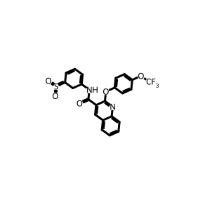 O=C(NC1=CC=CC(=S(=O)=O)C1)c1cc2ccccc2nc1Oc1ccc(OC(F)(F)F)cc1